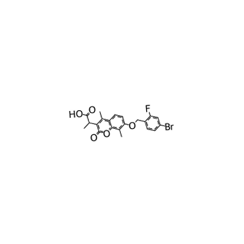 Cc1c(C(C)C(=O)O)c(=O)oc2c(C)c(OCc3ccc(Br)cc3F)ccc12